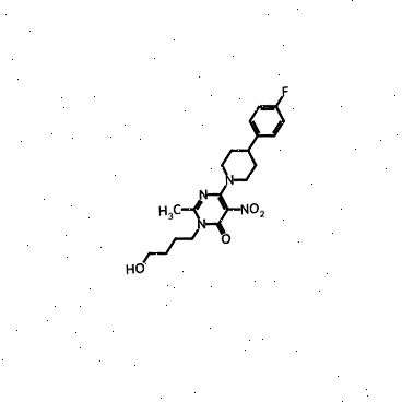 Cc1nc(N2CCC(c3ccc(F)cc3)CC2)c([N+](=O)[O-])c(=O)n1CCCCO